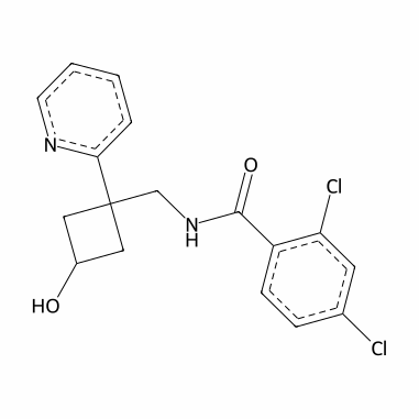 O=C(NCC1(c2ccccn2)CC(O)C1)c1ccc(Cl)cc1Cl